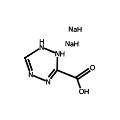 O=C(O)C1=NN=CNN1.[NaH].[NaH]